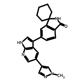 Cn1cc(-c2cnc3[nH]cc(-c4ccc5c(c4)C4(CCCCC4)NC5=O)c3c2)cn1